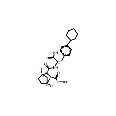 CC(C)(C)OC(=O)N1[C@@H]2CC[C@@H](C2)[C@H]1C(=O)N[C@@H](Cc1ccc(C2CCCCC2)cc1)C(N)=O